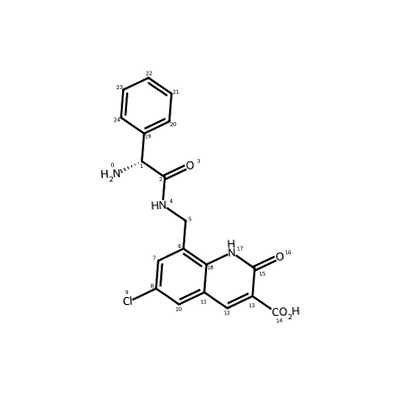 N[C@@H](C(=O)NCc1cc(Cl)cc2cc(C(=O)O)c(=O)[nH]c12)c1ccccc1